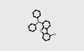 Clc1cccc2oc3c(N(c4ccccc4)c4ccccc4)cccc3c12